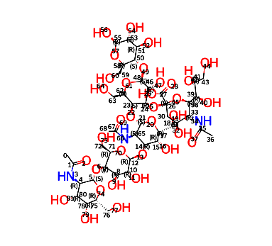 CC(=O)N[C@H]1[C@H](O[C@@H]2[C@H](O)[C@@H](O)[C@H](O[C@H]3[C@@H](O)[C@@H](CO)O[C@@H](O[C@@H]4[C@H](O[C@]5(C(=O)O)C[C@H](O)[C@@H](NC(C)=O)[C@H]([C@H](O)[C@H](O)CO)O5)[C@@H](O)[C@H](O[C@H]5[C@H](O)[C@@H](O)[C@H](O)O[C@@H]5CO)O[C@@H]4CO)[C@@H]3NC(C)=O)O[C@@H]2CO)O[C@H](CO)[C@H](O)[C@@H]1O